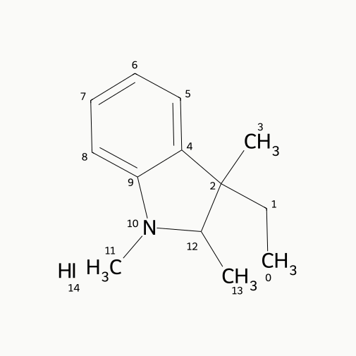 CCC1(C)c2ccccc2N(C)C1C.I